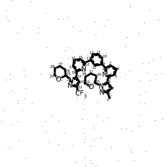 Cc1cc(-c2cccc(-c3cccc(-c4cccc(-c5cc(C(F)(F)F)nn5C5CCCCO5)n4)c3)n2)n(C2CCCCO2)n1